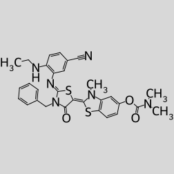 CCNc1ccc(C#N)cc1N=C1SC(=C2Sc3ccc(OC(=O)N(C)C)cc3N2C)C(=O)N1Cc1ccccc1